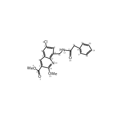 COC(=O)c1cc2cc(Cl)cc(CNC(=O)Cc3ccccc3)c2nc1OC